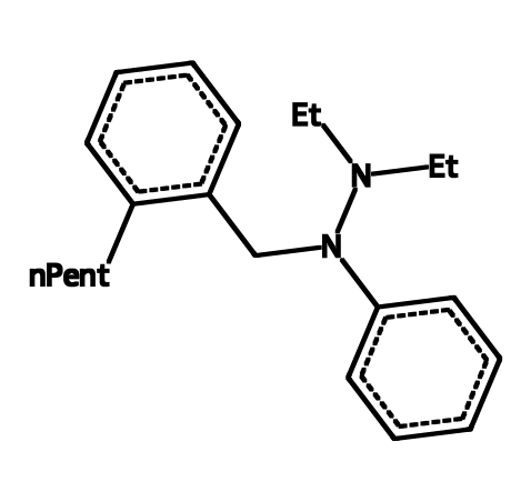 CCCCCc1ccccc1CN(c1ccccc1)N(CC)CC